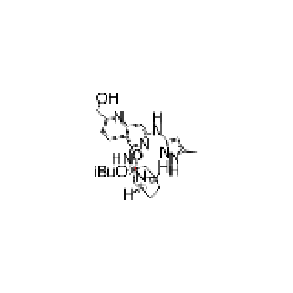 Cc1cc(Nc2cc3nc(CO)ccc3c(N[C@H]3C[C@H]4CC[C@@H](C3)N4C(=O)OCC(C)C)n2)n[nH]1